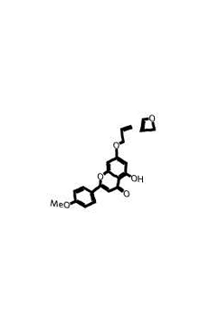 C1=COC1.C=CCOc1cc(O)c2c(=O)cc(-c3ccc(OC)cc3)oc2c1